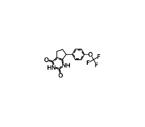 O=c1[nH]c2c(c(=O)[nH]1)CCC2c1ccc(OC(F)(F)F)cc1